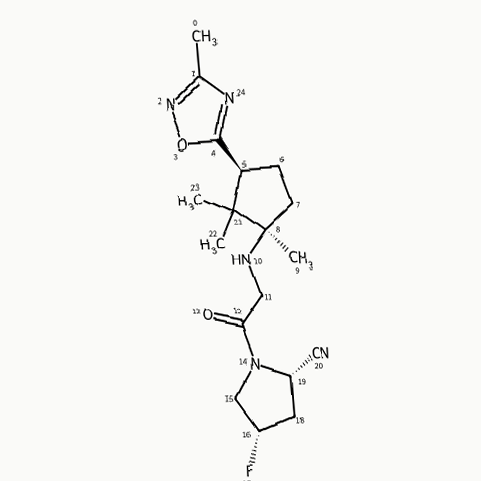 Cc1noc([C@H]2CC[C@@](C)(NCC(=O)N3C[C@@H](F)C[C@H]3C#N)C2(C)C)n1